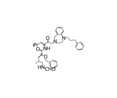 CC(C)C[C@H](NC(=O)[C@H](CC(C)CNC=O)OCc1ccccc1)C(=O)CN1CCN(CCCc2ccccc2)c2ccccc2C1